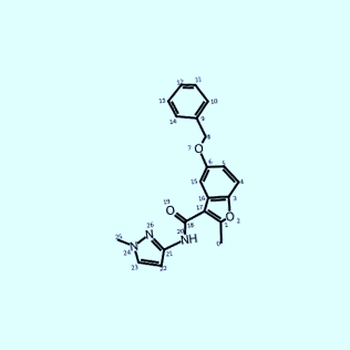 Cc1oc2ccc(OCc3ccccc3)cc2c1C(=O)Nc1ccn(C)n1